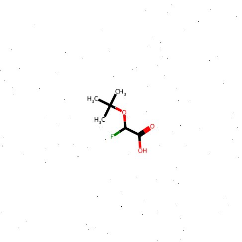 CC(C)(C)OC(F)C(=O)O